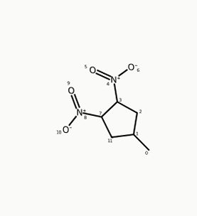 CC1CC([N+](=O)[O-])C([N+](=O)[O-])C1